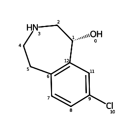 O[C@H]1CNCCc2ccc(Cl)cc21